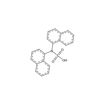 O=S(=O)(O)N(c1cccc2ccccc12)c1cccc2ccccc12